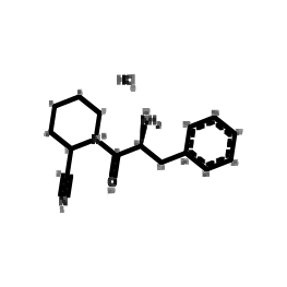 Cl.N#CC1CCCCN1C(=O)[C@@H](N)Cc1ccccc1